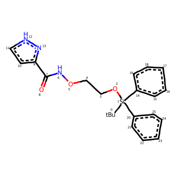 CC(C)(C)[Si](OCCONC(=O)c1cc[nH]n1)(c1ccccc1)c1ccccc1